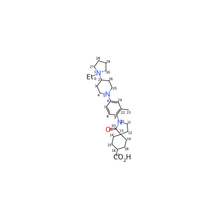 CC[N+]1(C2CCN(c3ccc(N4CCC5(CCC(C(=O)O)CC5)C4=O)c(C)c3)CC2)CCCC1